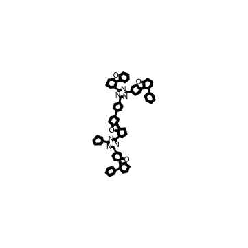 c1ccc(-c2nc(-c3ccc4c(c3)oc3cccc(-c5ccccc5)c34)nc(-c3cccc4c3oc3ccc(-c5ccc(-c6nc(-c7ccc8c(c7)oc7cccc(-c9ccccc9)c78)nc(-c7cccc8oc9ccccc9c78)n6)cc5)cc34)n2)cc1